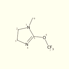 CN1[CH]CN=C1OC(F)(F)F